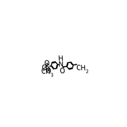 C=Cc1ccc(C(=O)Nc2ccc(S(=O)(=O)OC)cc2)cc1